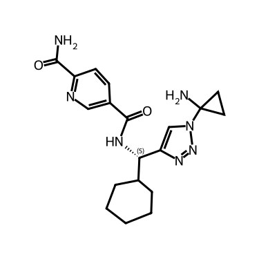 NC(=O)c1ccc(C(=O)N[C@H](c2cn(C3(N)CC3)nn2)C2CCCCC2)cn1